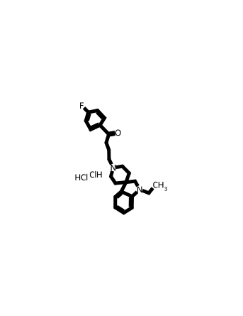 CCN1CC2(CCN(CCCC(=O)c3ccc(F)cc3)CC2)c2ccccc21.Cl.Cl